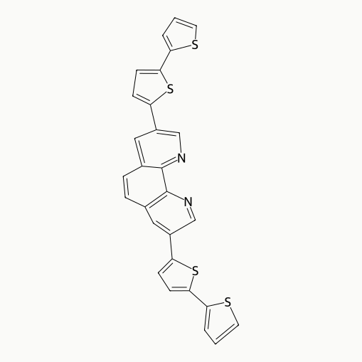 c1csc(-c2ccc(-c3cnc4c(ccc5cc(-c6ccc(-c7cccs7)s6)cnc54)c3)s2)c1